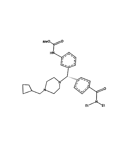 CCN(CC)C(=O)c1ccc([C@@H](c2cccc(NC(=O)OC)c2)N2CCN(CC3CCC3)CC2)cc1